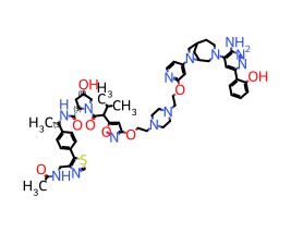 CC(=O)NCc1ncsc1-c1ccc([C@H](C)NC(=O)[C@@H]2C[C@@H](O)CN2C(=O)C(c2cc(OCCN3CCN(CCOc4cc(N5CC6CCN(c7cc(-c8ccccc8O)nnc7N)CC5C6)ccn4)CC3)no2)C(C)C)cc1